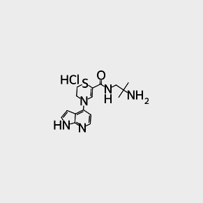 CC(C)(N)CNC(=O)C1=CN(c2ccnc3[nH]ccc23)CCS1.Cl